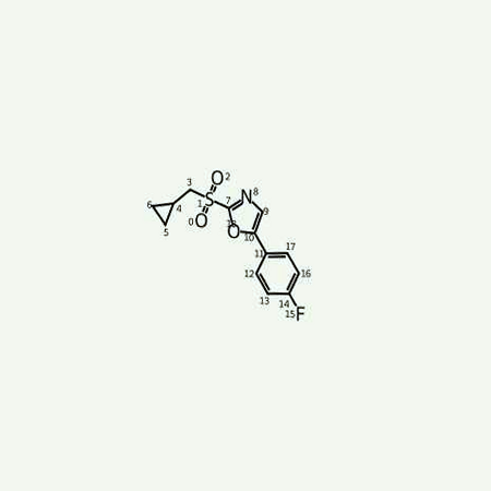 O=S(=O)(CC1CC1)c1ncc(-c2ccc(F)cc2)o1